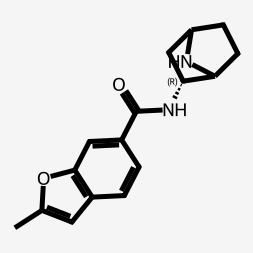 Cc1cc2ccc(C(=O)N[C@@H]3CC4CCC3N4)cc2o1